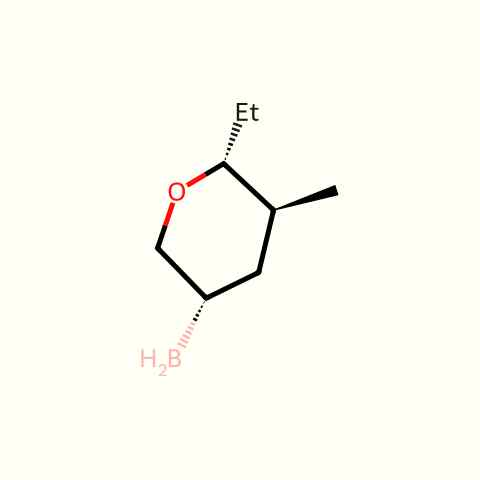 B[C@@H]1CO[C@H](CC)[C@@H](C)C1